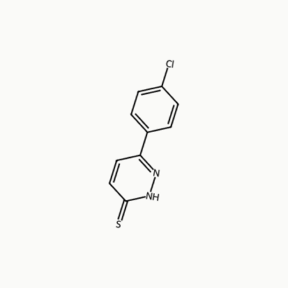 S=c1ccc(-c2ccc(Cl)cc2)n[nH]1